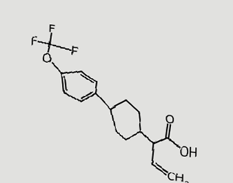 C=CC(C(=O)O)C1CCC(c2ccc(OC(F)(F)F)cc2)CC1